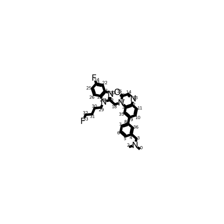 CN(C)Cc1cccc(-c2ccc3ncc(=O)n(Cc4nc5cc(F)ccc5n4CCCCF)c3c2)c1